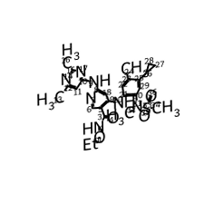 CCONC(=O)c1cnc(Nc2cc(C)nc(C)n2)cc1Nc1cc(C)c(C2CC2)cc1N(C)S(C)(=O)=O